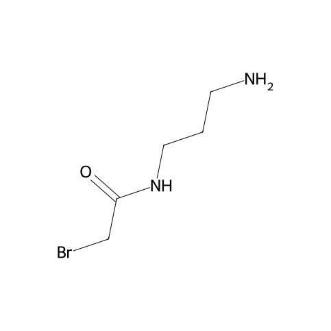 NCCCNC(=O)CBr